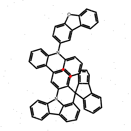 c1ccc(N(c2ccc3oc4ccccc4c3c2)c2ccccc2-c2ccc3c(c2)-n2c4ccccc4c4cccc(c42)C32c3ccccc3-c3ccccc32)cc1